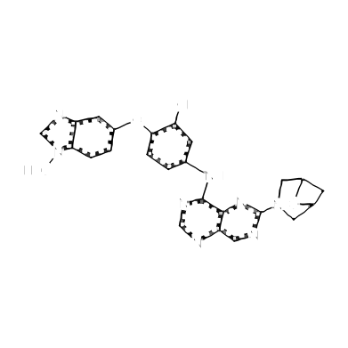 Cc1cc(Nc2ncnc3cnc(N4CC5CC(C4)O5)nc23)ccc1Oc1ccc2c(c1)ncn2C